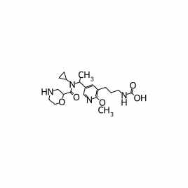 COc1ncc(C(C)N(C(=O)C2CNCCO2)C2CC2)cc1CCCNC(=O)O